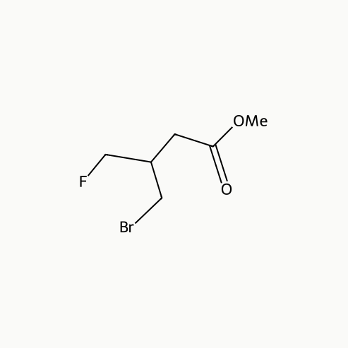 COC(=O)CC(CF)CBr